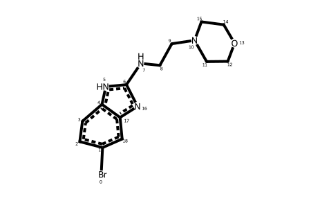 Brc1ccc2[nH]c(NCCN3CCOCC3)nc2c1